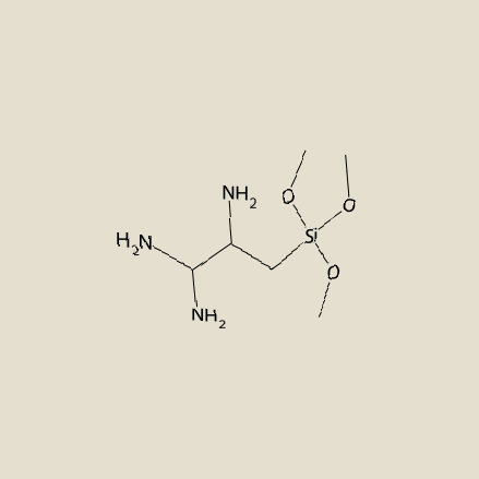 CO[Si](CC(N)C(N)N)(OC)OC